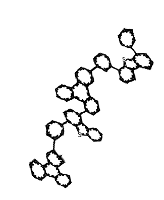 c1ccc(-c2cccc3c2sc2c(-c4cccc(-c5ccc6c7ccccc7c7c(-c8ccc(-c9cccc(-c%10ccc%11c%12ccccc%12c%12ccccc%12c%11c%10)c9)c9sc%10ccccc%10c89)cccc7c6c5)c4)cccc23)cc1